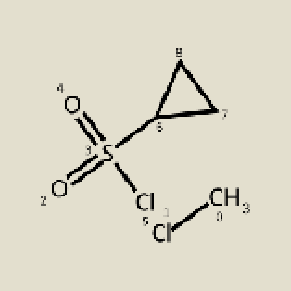 CCl.O=S(=O)(Cl)C1CC1